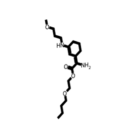 CCCCOCCOC(=O)/C(N)=C1\C=C(NCCCOC)CCC1